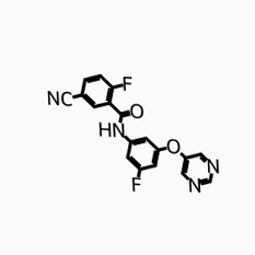 N#Cc1ccc(F)c(C(=O)Nc2cc(F)cc(Oc3cncnc3)c2)c1